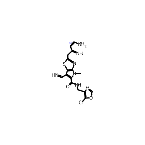 Cn1c(C(=O)NCc2ncoc2Cl)c(C=N)c2sc(CC(=N)/C=C\N)nc21